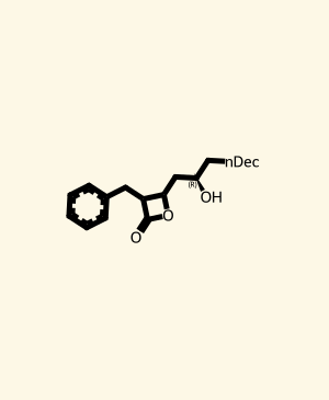 CCCCCCCCCCC[C@@H](O)CC1OC(=O)C1Cc1ccccc1